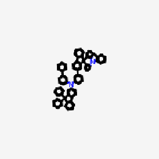 c1ccc(-c2cccc(N(c3cccc(-c4ccc5c(c4)C4(c6ccccc6-5)c5ccccc5-n5c6ccccc6c6cccc4c65)c3)c3ccc4c(c3)C(c3ccccc3)(c3ccccc3)c3ccccc3-4)c2)cc1